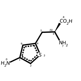 Nc1csc(C[C@H](N)C(=O)O)c1